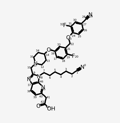 N#CCCCCCCn1c(CN2CCC(Oc3ccc(F)c(COc4ccc(C#N)cc4F)c3)CC2)nc2ccc(CC(=O)O)nc21